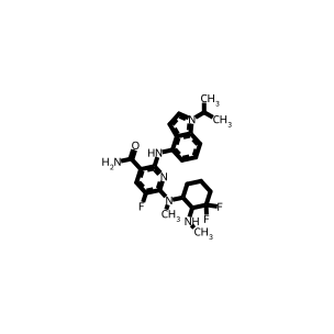 CNC1C(N(C)c2nc(Nc3cccc4c3ccn4C(C)C)c(C(N)=O)cc2F)CCCC1(F)F